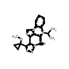 COC1(c2nnn(C#N)c2-c2ncn3c2c(=O)n(C(C)C)c2ccccc23)CC1